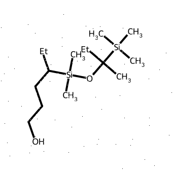 CCC(CCCO)[Si](C)(C)OC(C)(CC)[Si](C)(C)C